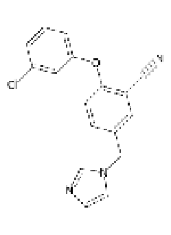 N#Cc1cc(Cn2ccnc2)ccc1Oc1cccc(Cl)c1